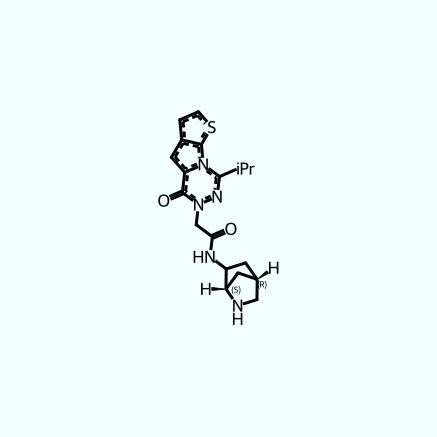 CC(C)c1nn(CC(=O)NC2C[C@@H]3CN[C@H]2C3)c(=O)c2cc3ccsc3n12